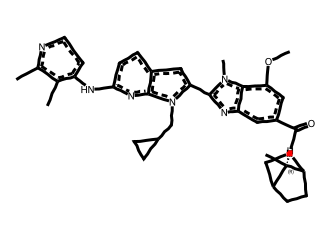 COc1cc(C(=O)N2CC3CCC2[C@@H]3C)cc2nc(-c3cc4ccc(Nc5ccnc(C)c5C)nc4n3CC3CC3)n(C)c12